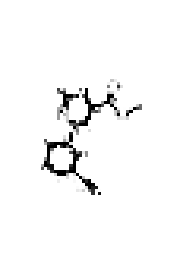 COC(=O)c1cc(-c2cccc(C#N)c2)ncn1